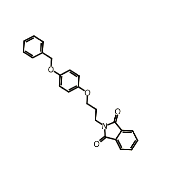 O=C1c2ccccc2C(=O)N1CCCOc1ccc(OCc2ccccc2)cc1